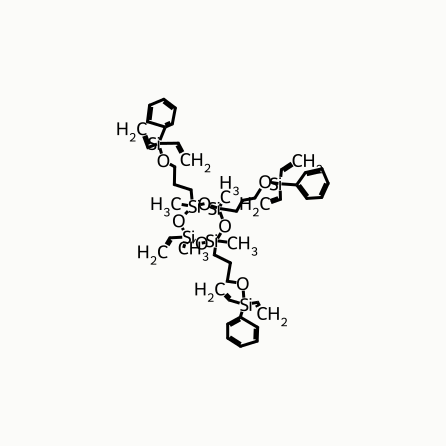 C=C[Si]1(C)O[Si](C)(CCCO[Si](C=C)(C=C)c2ccccc2)O[Si](C)(CCCO[Si](C=C)(C=C)c2ccccc2)O[Si](C)(CCCO[Si](C=C)(C=C)c2ccccc2)O1